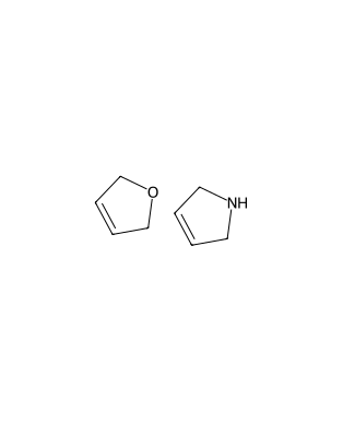 C1=CCNC1.C1=CCOC1